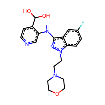 OC(O)c1ccncc1Nc1nn(CCN2CCOCC2)c2ccc(F)cc12